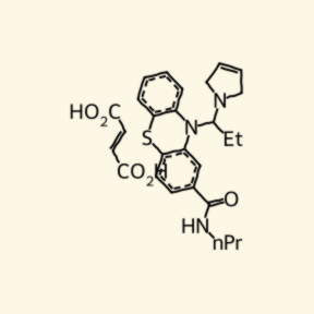 CCCNC(=O)c1ccc2c(c1)N(C(CC)N1CC=CC1)c1ccccc1S2.O=C(O)C=CC(=O)O